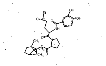 CC[S+]([O-])CCC(NC(=O)c1ccc(O)c(O)c1)C(=O)N1CCCC1C(=O)OC1CC2CCC1(C)C2(C)C